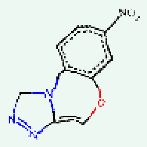 O=[N+]([O-])c1ccc2c(c1)OC=C1N=NCN12